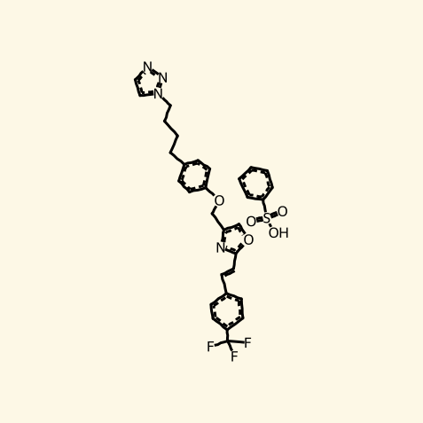 FC(F)(F)c1ccc(/C=C/c2nc(COc3ccc(CCCCn4ccnn4)cc3)co2)cc1.O=S(=O)(O)c1ccccc1